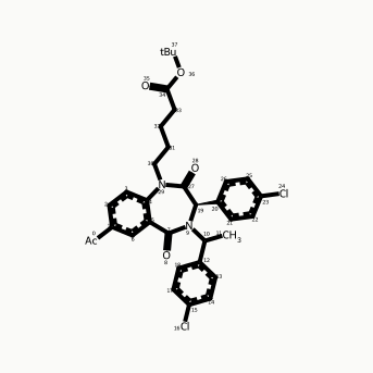 CC(=O)c1ccc2c(c1)C(=O)N(C(C)c1ccc(Cl)cc1)[C@H](c1ccc(Cl)cc1)C(=O)N2CCCCC(=O)OC(C)(C)C